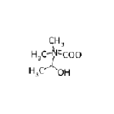 CC(O)[N+](C)(C)C(=O)[O-]